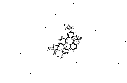 Cc1nc(-c2ccc3c(c2)OC(F)(F)O3)c(-c2cc(-c3cccc(S(C)(=O)=O)c3)ccc2-n2cc(Cl)c(C(F)(F)F)n2)o1